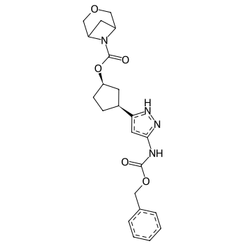 O=C(Nc1cc([C@H]2CC[C@@H](OC(=O)N3C4COCC3C4)C2)[nH]n1)OCc1ccccc1